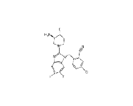 N#Cc1cc(Cl)ccc1Cn1c(N2CC[C@@H](F)[C@H](N)C2)nc2cc(F)c(F)cc21